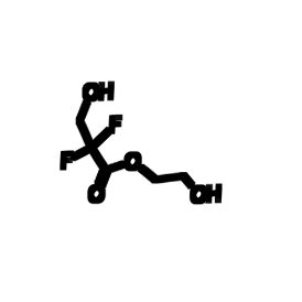 O=C(OCCO)C(F)(F)CO